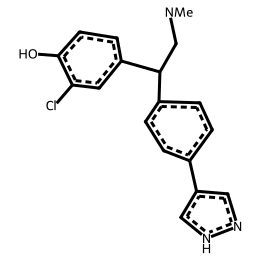 CNCC(c1ccc(-c2cn[nH]c2)cc1)c1ccc(O)c(Cl)c1